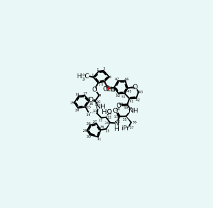 Cc1cccc(C)c1OCC(=O)N[C@@H](Cc1ccccc1)C[C@H](O)[C@H](Cc1ccccc1)NC(=O)[C@H](CC(C)C)NC(=O)C1=CCOc2ccc(Cl)cc21